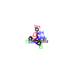 CC(C)(C)CC1(C)NC(C(=O)NC2CCC(O)CC2)C(c2cccc(Cl)c2F)C12C(=O)Nc1cc(Cl)ccc12